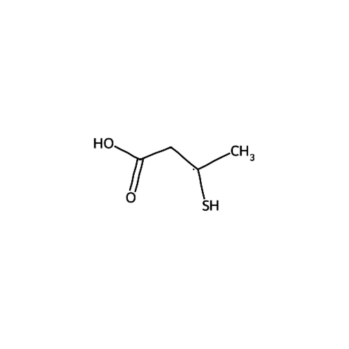 C[C](S)CC(=O)O